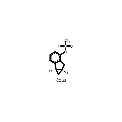 CCOC(=O)[C@H]1[C@@H]2Cc3c(OS(=O)(=O)C(F)(F)F)cccc3[C@@H]21